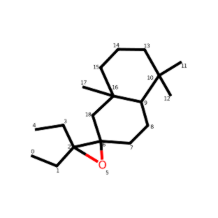 CCC1(CC)OC12CCC1C(C)(C)CCCC1(C)C2